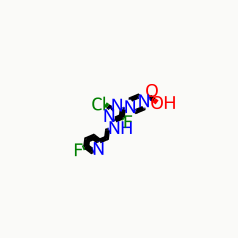 O=C(O)N1CCN(c2nc(Cl)nc(NCCc3ccc(F)cn3)c2F)CC1